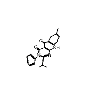 CC1CCc2[nH]c3nc(C(C)C)n(-c4ccccc4)c(=O)c3c(=O)c2C1